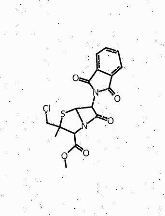 COC(=O)C1N2C(=O)C(N3C(=O)c4ccccc4C3=O)C2SC1(C)CCl